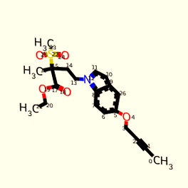 CC#CCOc1ccc2c(ccn2CCC(C)(C(=O)OCC)S(C)(=O)=O)c1